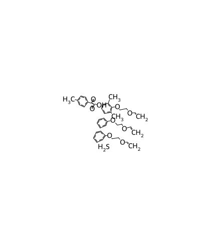 C=COCCOc1c(C)cccc1C.C=COCCOc1ccccc1.C=COCCOc1ccccc1.Cc1ccc(S(=O)(=O)O)cc1.S